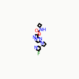 O=C(NC1CCC1)Oc1cnn2ccc(N3CCC[C@@H]3c3cncc(F)c3)nc12